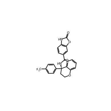 O=C(N[C@]1(c2ccc(C(F)(F)F)cc2)CCOc2cccnc21)c1ccc2[nH]c(=O)oc2c1